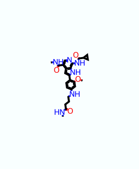 CNC(=O)CCCNc1ccc(-c2cc3c(C(=O)NC)cnc(NC(=O)C4CC4)c3[nH]2)c(OC)c1